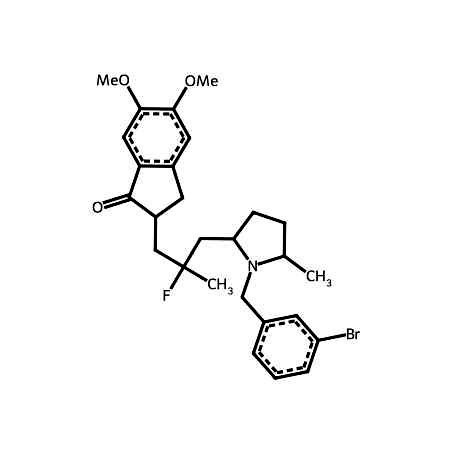 COc1cc2c(cc1OC)C(=O)C(CC(C)(F)CC1CCC(C)N1Cc1cccc(Br)c1)C2